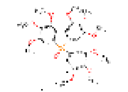 COc1cc(P(=O)(c2cc(OC)c(OC)c(OC)c2)c2cc(OC)c(OC)c(OC)c2)cc(OC)c1OC